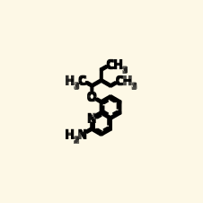 CCC(CC)C(C)Oc1cccc2ccc(N)nc12